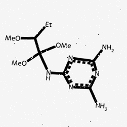 CCC(OC)C(Nc1nc(N)nc(N)n1)(OC)OC